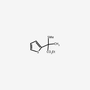 CCOC(=O)C(C)(SC)c1cccs1